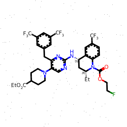 CCOC(=O)C1CCN(c2cnc(N[C@H]3C[C@@H](CC)N(C(=O)OCCF)c4ccc(C(F)(F)F)cc43)nc2Cc2cc(C(F)(F)F)cc(C(F)(F)F)c2)CC1